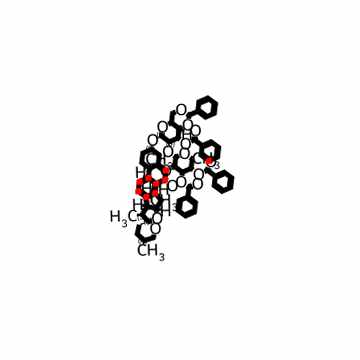 CC1OC(O[C@H]2C(OC(=O)c3ccccc3)[C@@H]3OC(c4ccccc4)OCC3O[C@H]2O[C@H]2CC[C@@]3(C)C(=CC[C@H]4[C@@H]5C[C@@H]6O[C@]7(CC[C@@H](C)CO7)[C@@H](C)[C@@H]6[C@@]5(C)CC[C@@H]43)C2)C(OC(=O)c2ccccc2)C(OC(=O)c2ccccc2)C1OC(=O)c1ccccc1